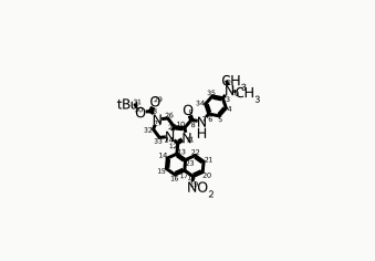 CN(C)c1ccc(NC(=O)c2nc(-c3cccc4c([N+](=O)[O-])cccc34)n3c2CN(C(=O)OC(C)(C)C)CC3)cc1